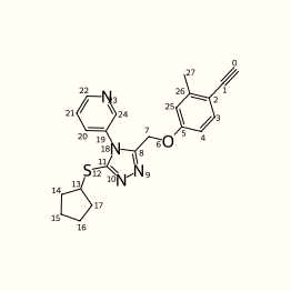 C#Cc1ccc(OCc2nnc(SC3CCCC3)n2-c2cccnc2)cc1C